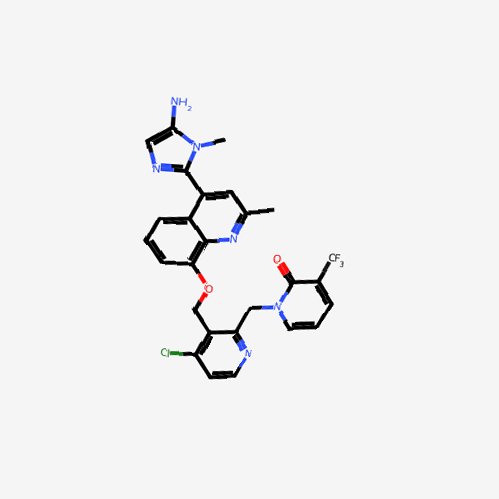 Cc1cc(-c2ncc(N)n2C)c2cccc(OCc3c(Cl)ccnc3Cn3cccc(C(F)(F)F)c3=O)c2n1